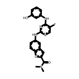 CN(C)C(=O)c1cc2cc(Nc3ncc(F)c(Nc4cccc(O)c4)n3)ccc2o1